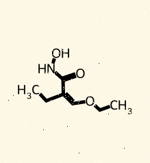 CCOC=C(CC)C(=O)NO